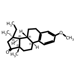 CC[C@]1(C)CC(=O)[C@@]2(C)CC[C@@H]3c4ccc(OC)cc4CC[C@H]3[C@H]12